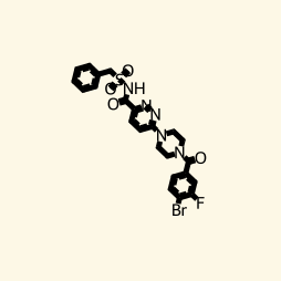 O=C(NS(=O)(=O)Cc1ccccc1)c1ccc(N2CCN(C(=O)c3ccc(Br)c(F)c3)CC2)nn1